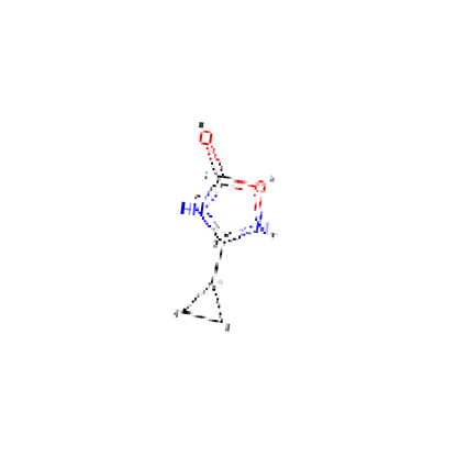 O=c1[nH]c(C2CC2)no1